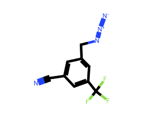 N#Cc1cc(CN=[N+]=[N-])cc(C(F)(F)F)c1